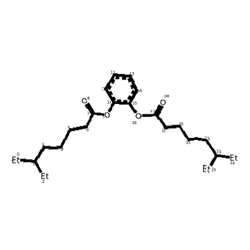 CCC(CC)CCCCC(=O)Oc1ccccc1OC(=O)CCCCC(CC)CC